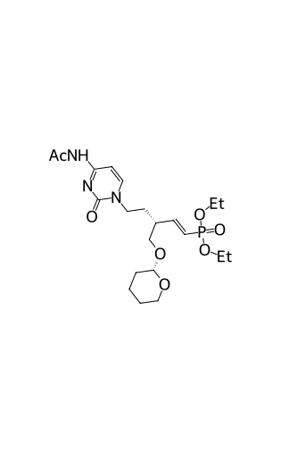 CCOP(=O)(C=C[C@@H](CCn1ccc(NC(C)=O)nc1=O)CO[C@H]1CCCCO1)OCC